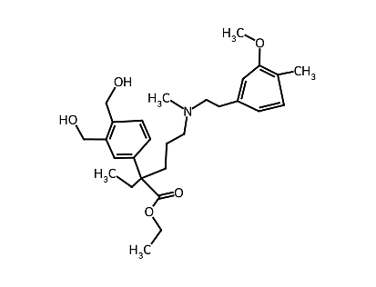 CCOC(=O)C(CC)(CCCN(C)CCc1ccc(C)c(OC)c1)c1ccc(CO)c(CO)c1